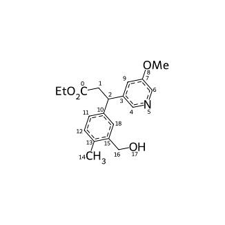 CCOC(=O)CC(c1cncc(OC)c1)c1ccc(C)c(CO)c1